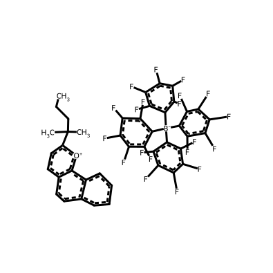 CCCC(C)(C)c1ccc2ccc3ccccc3c2[o+]1.Fc1c(F)c(F)c([B-](c2c(F)c(F)c(F)c(F)c2F)(c2c(F)c(F)c(F)c(F)c2F)c2c(F)c(F)c(F)c(F)c2F)c(F)c1F